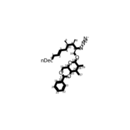 CCCCCCCCCCCC=CC[C@@H](C)[C@@H](C)[C@H](COC1OC2COC(c3ccccc3)OC2C(C)C1C)N=[N+]=[N-]